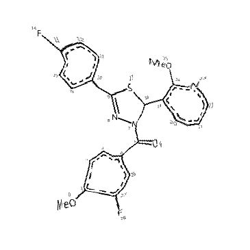 COc1ccc(C(=O)N2N=C(c3ccc(F)cc3)SC2c2cccnc2OC)cc1F